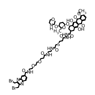 COc1cccc2c1C(=O)c1c(O)c3c(c(O)c1C2=O)CC(C(=O)NNC(=O)CCSCC(=O)NCCNC(=O)CCOCCOCCNC(=O)c1ccc2nc(CBr)c(CBr)nc2c1)C[C@@H]3O[C@H]1CC[C@H](O[C@@H]2COCCN2)[C@H](C)O1